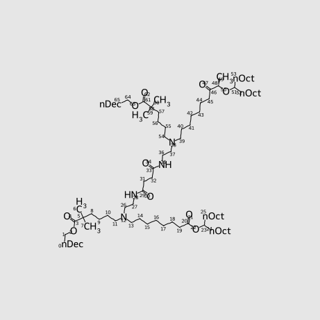 CCCCCCCCCCCOC(=O)C(C)(C)CCCCN(CCCCCCCC(=O)OC(CCCCCCCC)CCCCCCCC)CCNC(=O)CCC(=O)NCCN(CCCCCCCC(=O)[C@@H](C)OC(CCCCCCCC)CCCCCCCC)CCCCC(C)(C)C(=O)OCCCCCCCCCCC